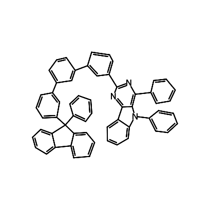 c1ccc(-c2nc(-c3cccc(-c4cccc(-c5cccc(C6(c7ccccc7)c7ccccc7-c7ccccc76)c5)c4)c3)nc3c4ccccc4n(-c4ccccc4)c23)cc1